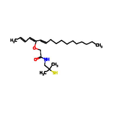 CC=CC=C(C=CCCCCCCCCCC)OCC(=O)NCC(C)(C)S